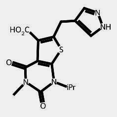 CC(C)n1c(=O)n(C)c(=O)c2c(C(=O)O)c(Cc3cn[nH]c3)sc21